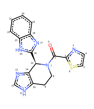 O=C(c1nccs1)N1CCc2[nH]cnc2[C@H]1c1nc2ccccc2[nH]1